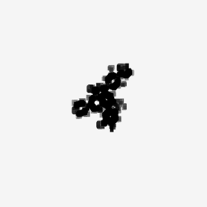 C=CC(O)N1[C@H](C)CN(c2nc(=O)n3c4c(c(-c5cc(Cl)c(F)cc5F)c(C(F)(F)F)cc24)SC[C@@H](N2CCOCC2)C3)C[C@@H]1C